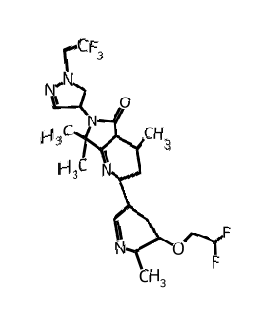 CC1CC(C2C=NC(C)C(OCC(F)F)C2)N=C2C1C(=O)N(C1C=NN(CC(F)(F)F)C1)C2(C)C